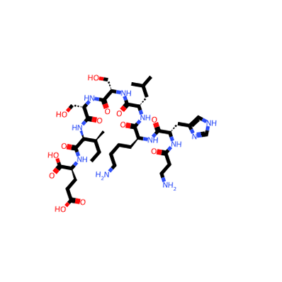 CC[C@H](C)[C@H](NC(=O)[C@H](CO)NC(=O)[C@H](CO)NC(=O)[C@H](CC(C)C)NC(=O)[C@H](CCCCN)NC(=O)[C@H](Cc1c[nH]cn1)NC(=O)CCN)C(=O)N[C@@H](CCC(=O)O)C(=O)O